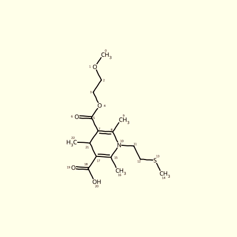 COCCOC(=O)C1=C(C)N(CCSC)C(C)=C(C(=O)O)C1C